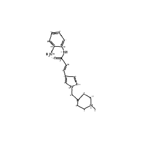 CN1CCC(Cn2cc(C=CC(=O)Nc3ccccc3N)cn2)CC1